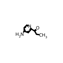 CCC(=O)c1cc(N)ccn1